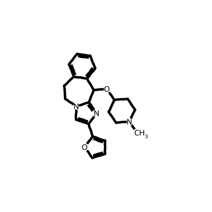 CN1CCC(OC2c3ccccc3CCn3cc(-c4ccco4)nc32)CC1